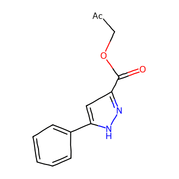 CC(=O)COC(=O)c1cc(-c2ccccc2)[nH]n1